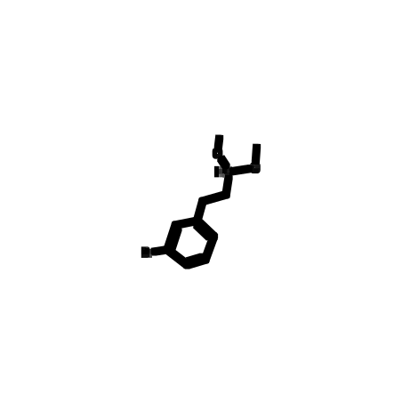 CO[SiH](CCc1cccc(Br)c1)OC